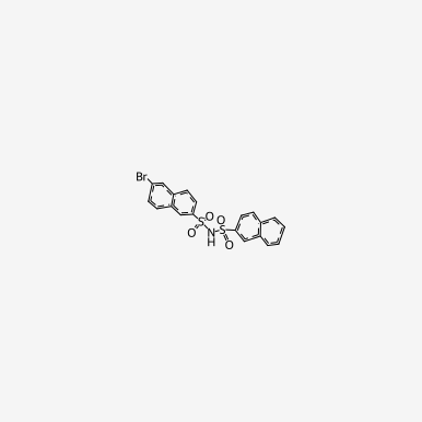 O=S(=O)(NS(=O)(=O)c1ccc2cc(Br)ccc2c1)c1ccc2ccccc2c1